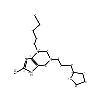 CCCCCN1CN(CCCC2CCCO2)Cc2[nH]c(Cl)nc21